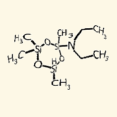 CCN(CC)[Si]1(C)O[SiH](C)O[Si](C)(C)O1